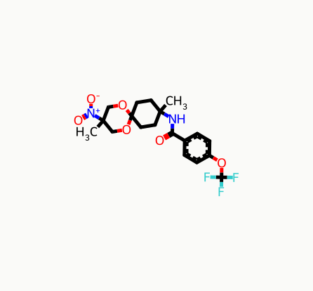 CC1(NC(=O)c2ccc(OC(F)(F)F)cc2)CCC2(CC1)OCC(C)([N+](=O)[O-])CO2